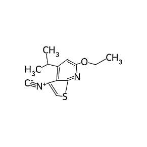 [C-]#[N+]c1csc2nc(OCC)cc(C(C)C)c12